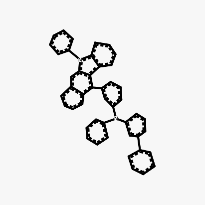 c1ccc(-c2cccc(N(c3ccccc3)c3cccc(-c4c5ccccc5cc5c4c4ccccc4n5-c4ccccc4)c3)c2)cc1